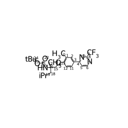 Cc1cc(-c2ccnc(C(F)(F)F)n2)ccc1OC[C@](C)(CC(C)C)NC(=O)OC(C)(C)C